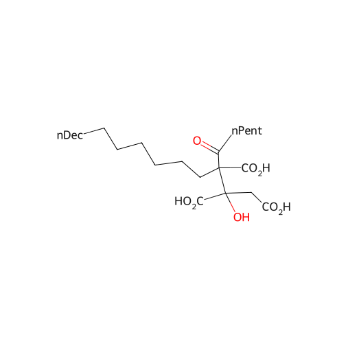 CCCCCCCCCCCCCCCCC(C(=O)O)(C(=O)CCCCC)C(O)(CC(=O)O)C(=O)O